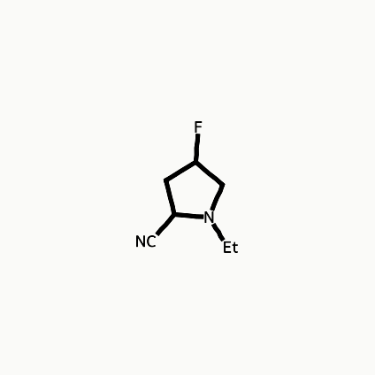 CCN1CC(F)CC1C#N